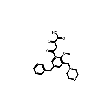 COc1c(CN2CCOCC2)cc(Cc2ccccc2)cc1C(=O)CC(=O)C(=O)O